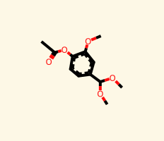 COc1cc(C(OC)OC)ccc1OC(C)=O